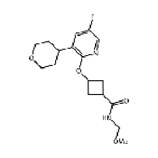 COCNC(=O)C1CC(Oc2ncc(F)cc2C2CCOCC2)C1